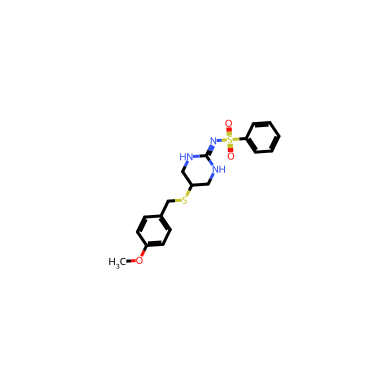 COc1ccc(CSC2CNC(=NS(=O)(=O)c3ccccc3)NC2)cc1